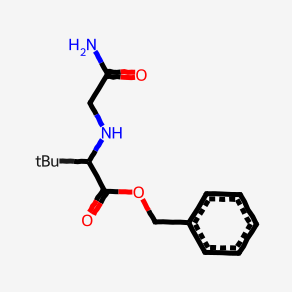 CC(C)(C)C(NCC(N)=O)C(=O)OCc1ccccc1